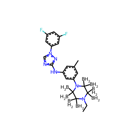 BC1(B)N(CC)C(B)(B)C(B)(B)N(c2cc(C)cc(Nc3ncn(-c4cc(F)cc(F)c4)n3)c2)C1(B)B